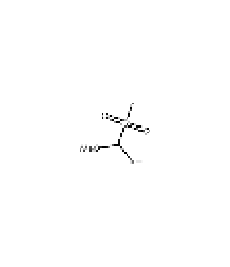 COC([NH])S(C)(=O)=O